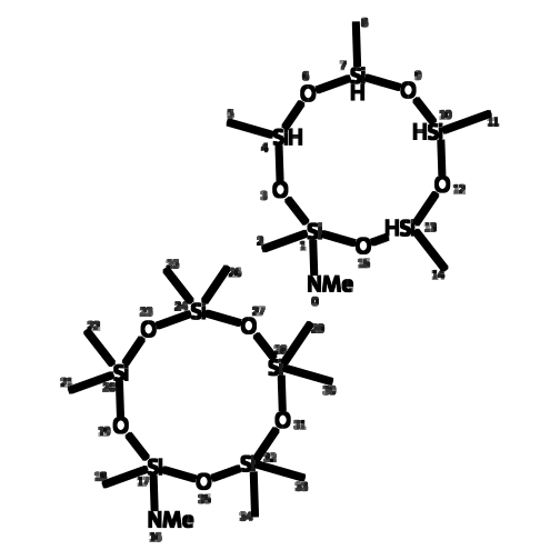 CN[Si]1(C)O[SiH](C)O[SiH](C)O[SiH](C)O[SiH](C)O1.CN[Si]1(C)O[Si](C)(C)O[Si](C)(C)O[Si](C)(C)O[Si](C)(C)O1